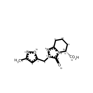 Cc1cc(Cn2nc3n(c2=O)[C@@H](C(=O)O)CCC3)on1